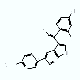 COc1ccc(-c2cnc3[nH]cc(/C(=C/C#N)c4ccc(Cl)cc4Cl)c3c2)cn1